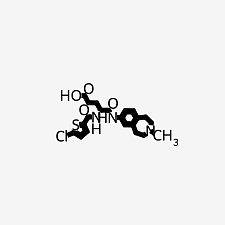 CN1CCc2ccc(NC(=O)C(CCC(=O)O)NC(=O)c3ccc(Cl)s3)cc2CC1